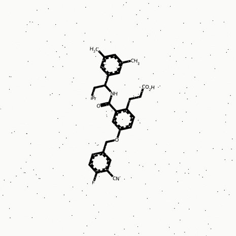 Cc1cc(C)cc(C(CC(C)C)NC(=O)c2cc(OCc3ccc(F)c(C#N)c3)ccc2CCC(=O)O)c1